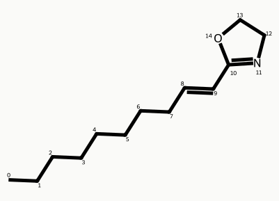 CCCCCCCCC=CC1=NCCO1